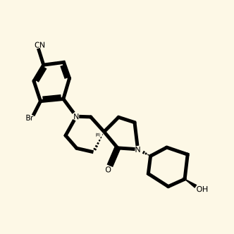 N#Cc1ccc(N2CCC[C@@]3(CCN([C@H]4CC[C@H](O)CC4)C3=O)C2)c(Br)c1